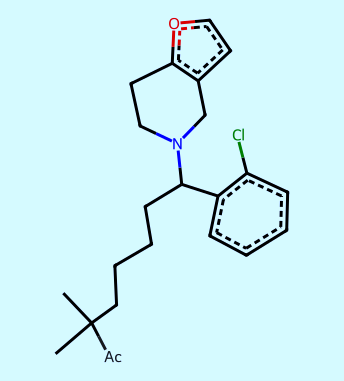 CC(=O)C(C)(C)CCCCC(c1ccccc1Cl)N1CCc2occc2C1